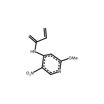 C=CC(=C)Nc1cc(OC)ncc1[N+](=O)[O-]